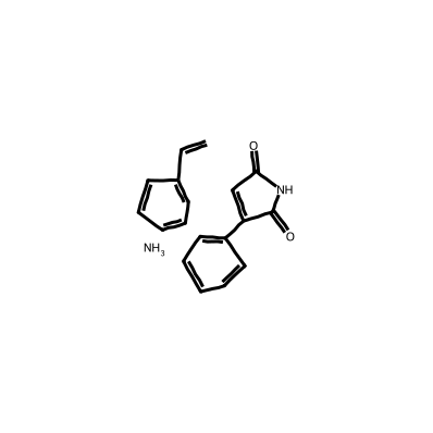 C=Cc1ccccc1.N.O=C1C=C(c2ccccc2)C(=O)N1